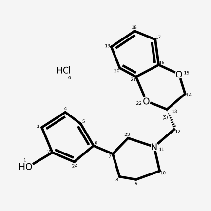 Cl.Oc1cccc(C2CCCN(C[C@H]3COc4ccccc4O3)C2)c1